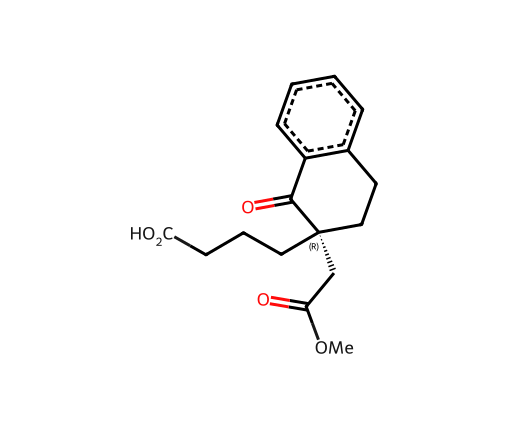 COC(=O)C[C@@]1(CCCC(=O)O)CCc2ccccc2C1=O